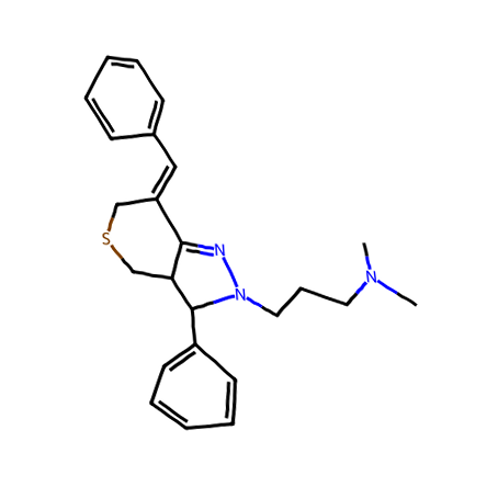 CN(C)CCCN1N=C2C(=Cc3ccccc3)CSCC2C1c1ccccc1